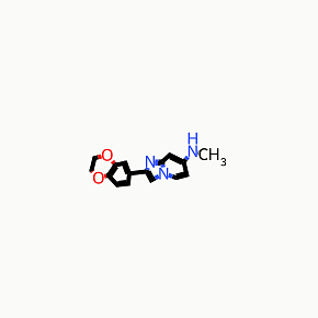 CNc1ccn2cc(-c3ccc4c(c3)OCCO4)nc2c1